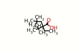 CCC(CC(C)(C)C)(C(=O)O)C(C)(C)C